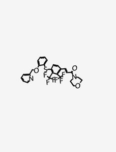 O=C(C=Cc1ccc(Sc2ccccc2OCc2ccccn2)c(C(F)(F)F)c1C(F)(F)F)N1CCOCC1